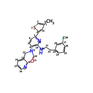 Cc1csc(-c2ccc(N(C=O)Cc3cccnc3)c(NCCc3cccc(F)c3)n2)c1